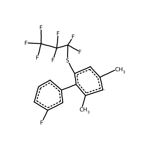 Cc1[c]c(C)c(-c2cccc(F)c2)c(SC(F)(F)C(F)(F)C(F)(F)F)c1